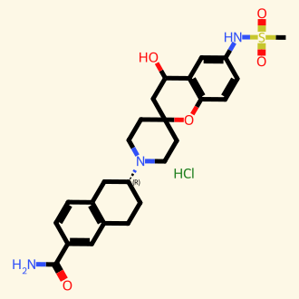 CS(=O)(=O)Nc1ccc2c(c1)C(O)CC1(CCN([C@@H]3CCc4cc(C(N)=O)ccc4C3)CC1)O2.Cl